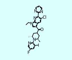 CCn1cc(C(=O)C2C[C@@H](C)N(c3ncc(F)cc3I)[C@H](C)C2)c2cc(Cl)c(-c3ncccn3)nc21